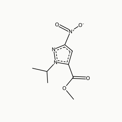 COC(=O)c1cc([N+](=O)[O-])nn1C(C)C